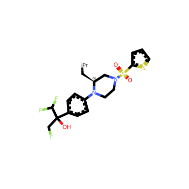 CC(C)C[C@H]1CN(S(=O)(=O)c2cccs2)CCN1c1ccc(C(O)(CF)C(F)F)cc1